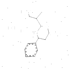 CC(CN)CNC(C[C@@H](C)O)c1ccccc1.Cl.Cl